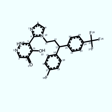 O=c1cn[nH]c(-c2nccn2CCC(c2ccc(F)cc2)c2ccc(C(F)(F)F)cc2)c1O